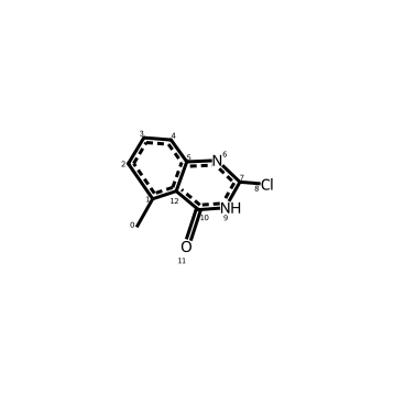 Cc1cccc2nc(Cl)[nH]c(=O)c12